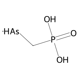 O=P(O)(O)C[AsH]